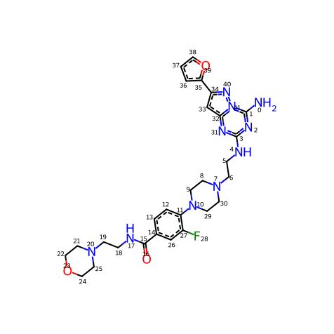 Nc1nc(NCCN2CCN(c3ccc(C(=O)NCCN4CCOCC4)cc3F)CC2)nc2cc(-c3ccco3)nn12